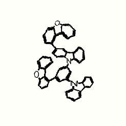 c1ccc2c(c1)oc1cccc(-c3cc(-n4c5ccccc5c5ccccc54)cc(-n4c5ccccc5c5cc(-c6cccc7oc8ccccc8c67)ccc54)c3)c12